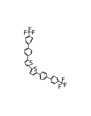 FC(F)(F)c1ccc(-c2ccc(-c3ccc(-c4ccc(-c5ccc(-c6ccc(C(F)(F)F)cc6)cc5)s4)s3)cc2)cc1